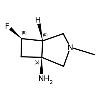 CN1C[C@H]2[C@H](F)C[C@@]2(N)C1